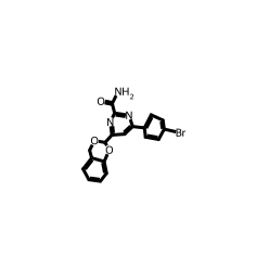 NC(=O)c1nc(-c2ccc(Br)cc2)cc(C2OCc3ccccc3O2)n1